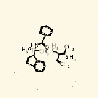 C=CC(C)=CC.[CH3][Ti]([CH3])([NH]C(=O)c1ccccc1)[CH]1C=Cc2ccccc21.[SiH4]